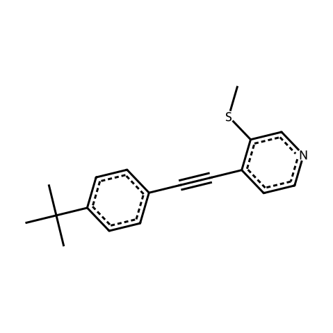 CSc1cnccc1C#Cc1ccc(C(C)(C)C)cc1